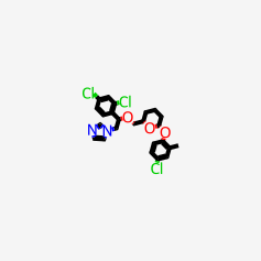 Cc1cc(Cl)ccc1OC1CCCC(COC(Cn2ccnc2)c2ccc(Cl)cc2Cl)O1